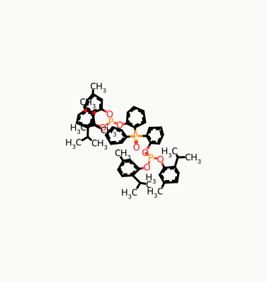 Cc1ccc(C(C)C)c(OP(Oc2cc(C)ccc2C(C)C)Oc2ccccc2P(=O)(c2ccccc2)c2ccccc2OP(Oc2cc(C)ccc2C(C)C)Oc2cc(C)ccc2C(C)C)c1